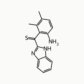 Cc1ccc(N)c(C(=S)c2nc3ccccc3[nH]2)c1C